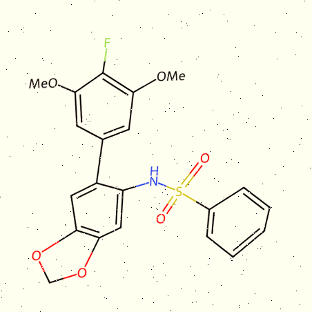 COc1cc(-c2cc3c(cc2NS(=O)(=O)c2ccccc2)OCO3)cc(OC)c1F